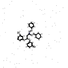 Brc1cccc(SC(C/C(=N/Sc2ccccc2)OCC2CCCCC2)Sc2cccc(Br)c2)c1